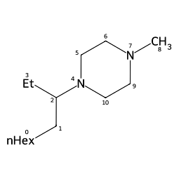 CCCCCCCC(CC)N1CCN(C)CC1